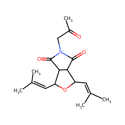 CC(=O)CN1C(=O)C2C(C=C(C)C)OC(C=C(C)C)C2C1=O